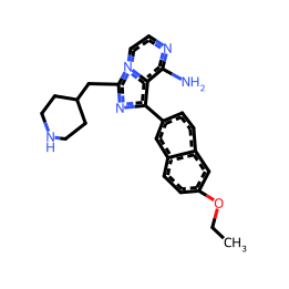 CCOc1ccc2cc(-c3nc(CC4CCNCC4)n4ccnc(N)c34)ccc2c1